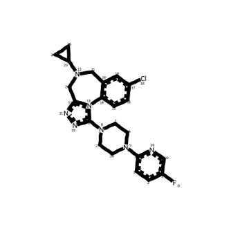 Fc1ccc(N2CCN(c3nnc4n3-c3ccc(Cl)cc3CN(C3CC3)C4)CC2)nc1